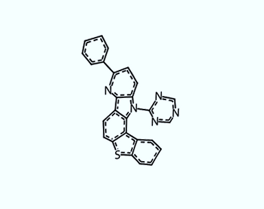 c1ccc(-c2ccc3c(n2)c2ccc4sc5ccccc5c4c2n3-c2ncncn2)cc1